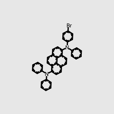 Brc1ccc(N(c2ccccc2)c2ccc3ccc4c(N(c5ccccc5)c5ccccc5)ccc5ccc2c3c54)cc1